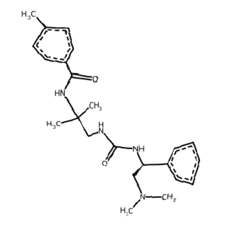 Cc1ccc(C(=O)NC(C)(C)CNC(=O)N[C@H](CN(C)C)c2ccccc2)cc1